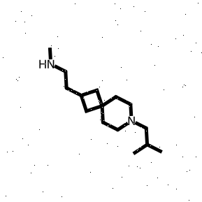 CNCCC1CC2(CCN(CC(C)C)CC2)C1